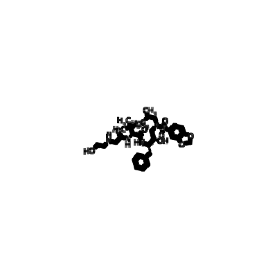 CC(C)CN(C[C@@H](O)[C@H](Cc1ccccc1)NC(=O)[C@@H](NC(=O)CNCCO)C(C)(C)C)S(=O)(=O)c1ccc2c(c1)OCO2